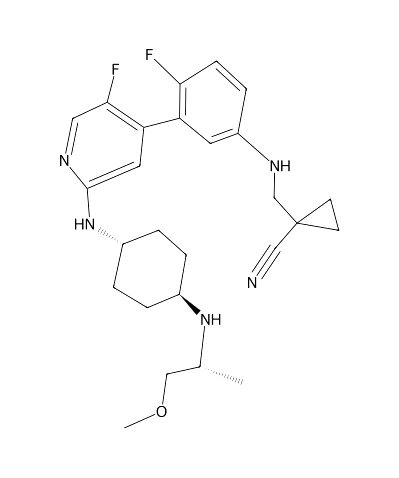 COC[C@@H](C)N[C@H]1CC[C@H](Nc2cc(-c3cc(NCC4(C#N)CC4)ccc3F)c(F)cn2)CC1